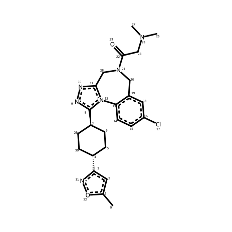 Cc1cc([C@H]2CC[C@H](c3nnc4n3-c3ccc(Cl)cc3CN(C(=O)CN(C)C)C4)CC2)no1